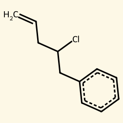 C=CCC(Cl)Cc1ccccc1